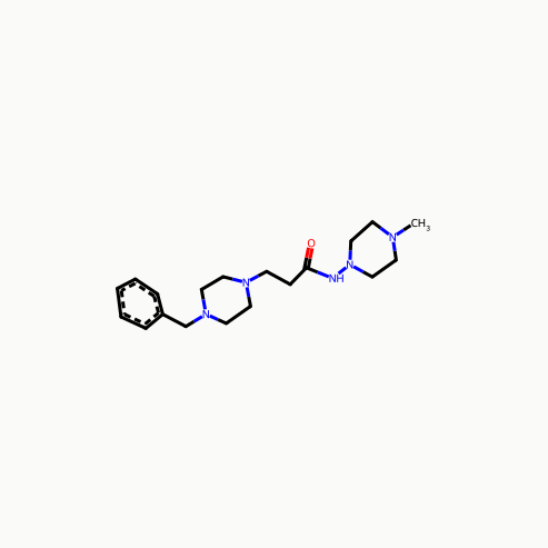 CN1CCN(NC(=O)CCN2CCN(Cc3ccccc3)CC2)CC1